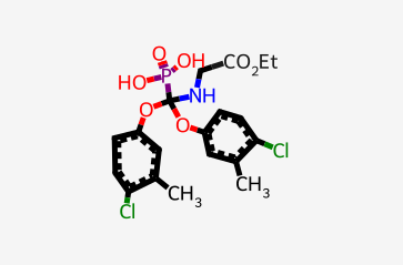 CCOC(=O)CNC(Oc1ccc(Cl)c(C)c1)(Oc1ccc(Cl)c(C)c1)P(=O)(O)O